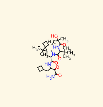 CC(C)(O)C(=O)N[C@H](C(=O)N1C[C@]2(C[C@H]1C(=O)NC(CC1CCC1)C(=O)C(N)=O)C(C)(C)C21CCC1)C(C)(C)C